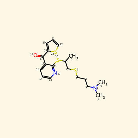 CC(CSCCCN(C)C)Sc1ncccc1C(=O)c1cccs1